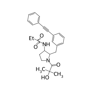 CCS(=O)(=O)NC1CCN(C(=O)C(C)(C)O)C1Cc1cccc(C#Cc2ccccc2)c1